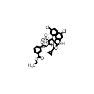 CCOC(=O)c1cccc([C@@H](O)C[C@H]2[C@@H]([N+](=O)[O-])[C@H](c3cccc(Cl)c3)[C@]3(C(=O)Nc4cc(Cl)ccc43)N2CC2CC2)c1